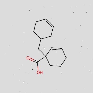 O=C(O)C1(CC2CC=CCC2)C=CCCC1